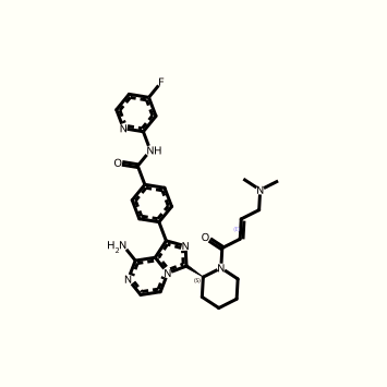 CN(C)C/C=C/C(=O)N1CCCC[C@H]1c1nc(-c2ccc(C(=O)Nc3cc(F)ccn3)cc2)c2c(N)nccn12